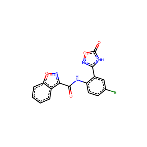 O=C(Nc1ccc(Br)cc1-c1noc(=O)[nH]1)c1noc2ccccc12